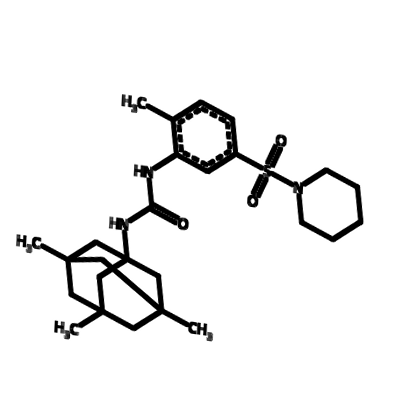 Cc1ccc(S(=O)(=O)N2CCCCC2)cc1NC(=O)NC12CC3(C)CC(C)(CC(C)(C3)C1)C2